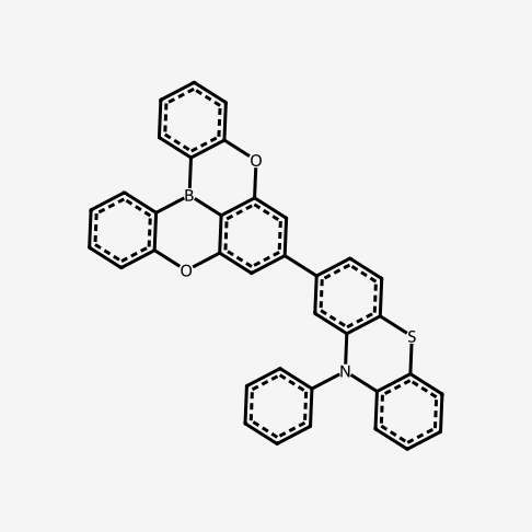 c1ccc(N2c3ccccc3Sc3ccc(-c4cc5c6c(c4)Oc4ccccc4B6c4ccccc4O5)cc32)cc1